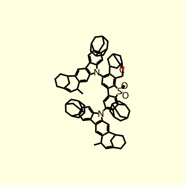 CC1C=C2CCCC(C2)c2cc3c4cc5c(cc4n(-c4cc6c(c7c4C4CC8CC(C4)CC7C8)S(=O)(=O)c4c-6cc(-n6c7cc8c(cc7c7cc9c(cc76)C6CC7CC(CC9C7)C6)C(C)C=C6CCCC8C6)c6c4C4CC7CC(CC6C7)C4)c3cc21)C1CC2CC(CC5C2)C1